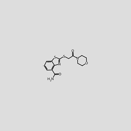 NC(=O)c1c[c]cc2sc(SCC(=O)N3CCOCC3)nc12